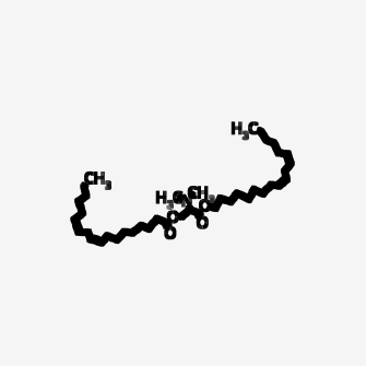 CCCCC/C=C\C/C=C\CCCCCCCCOC(=O)C(COC(=O)CCCCCCC/C=C\C/C=C\CCCCC)N(C)C